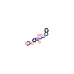 O=C(NC[C@H](O)CN1CCc2ccccc2C1)c1cccc(OC2CCOCC2)c1